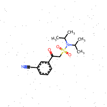 CC(C)N(C(C)C)S(=O)(=O)CC(=O)c1cccc(C#N)c1